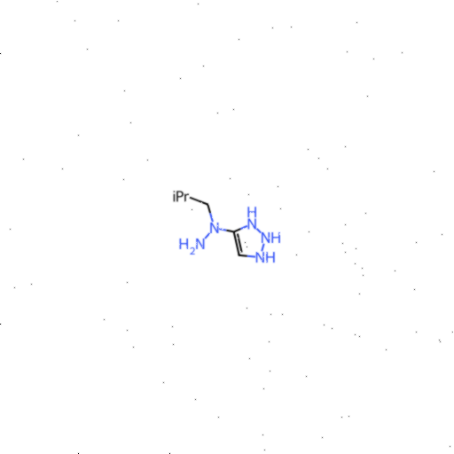 CC(C)CN(N)C1=CNNN1